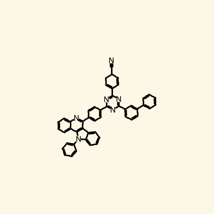 N#CC1C=CC(c2nc(-c3ccc(-c4nc5ccccc5c5c4c4ccccc4n5-c4ccccc4)cc3)nc(-c3cccc(-c4ccccc4)c3)n2)=CC1